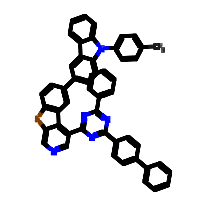 FC(F)(F)c1ccc(-n2c3ccccc3c3cc(-c4ccc5sc6cncc(-c7nc(-c8ccccc8)nc(-c8ccc(-c9ccccc9)cc8)n7)c6c5c4)ccc32)cc1